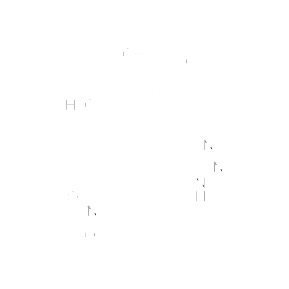 CCc1cc(-c2nn[nH]c2-c2ccc([N+](=O)[O-])cc2)cc(CC)c1CC